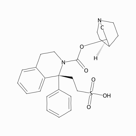 O=C(O[C@H]1CN2CCC1CC2)N1CCc2ccccc2[C@@]1(CCS(=O)(=O)O)c1ccccc1